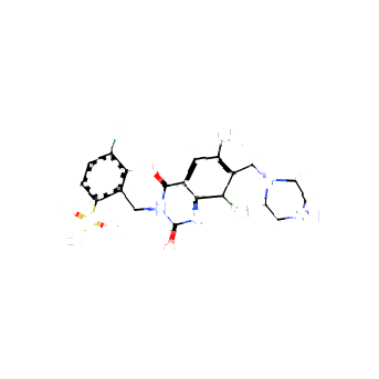 CCS(=O)(=O)c1ccc(Cl)cc1CN1C(=O)N=C2C(=CC(C(F)(F)F)=C(CN3CCNCC3)C2Cl)C1=O